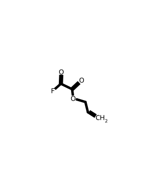 C=CCOC(=O)C(=O)F